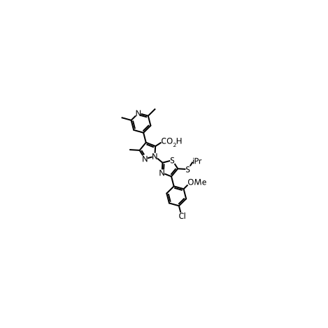 COc1cc(Cl)ccc1-c1nc(-n2nc(C)c(-c3cc(C)nc(C)c3)c2C(=O)O)sc1SC(C)C